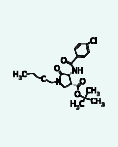 CCCCCN1C[C@@H](C(=O)OC(C)(C)C)[C@@H](NC(=O)c2ccc(Cl)cc2)C1=O